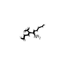 CCCCCC(N)C(CCCC)C(C)C